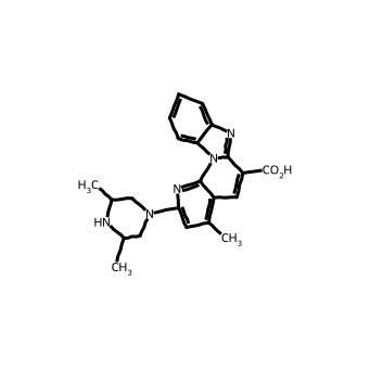 Cc1cc(N2CC(C)NC(C)C2)nc2c1cc(C(=O)O)c1nc3ccccc3n12